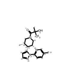 C[C@@H]1CN(C(=O)C(C)(O)C(F)(F)F)CC[C@@H]1c1ccnn1-c1ccc(F)cn1